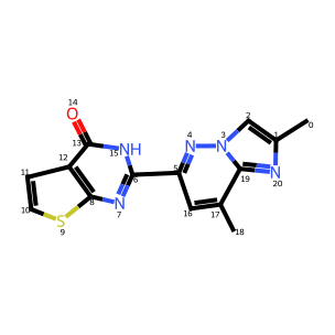 Cc1cn2nc(-c3nc4sccc4c(=O)[nH]3)cc(C)c2n1